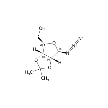 CC1(C)O[C@@H]2[C@H](O1)[C@@H](CO)O[C@H]2N=[N+]=[N-]